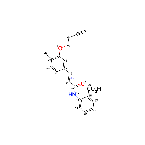 C#CCCOc1cc(/C=C/C(=O)Nc2ccccc2C(=O)O)ccc1C